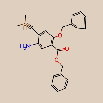 C[SH](C)#Cc1cc(OCc2ccccc2)c(C(=O)OCc2ccccc2)cc1N